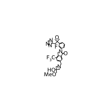 COCC1(O)CN(Cc2cc3c(c(C(F)(F)F)c2)CN(c2cccc(C4([C@H](F)c5nncn5C)COC4)c2)C3=O)C1